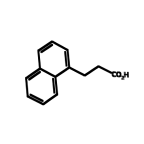 O=C(O)CCc1cccc2ccccc12